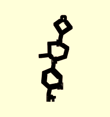 CC(C)c1ccc(N2CCN(C3COC3)CC2C)cn1